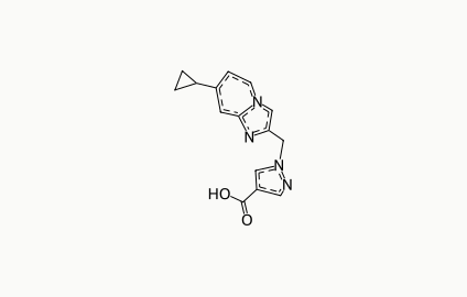 O=C(O)c1cnn(Cc2cn3ccc(C4CC4)cc3n2)c1